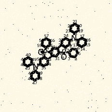 O=P1(c2ccccc2)c2cc(N(c3ccccc3)c3ccccc3)ccc2-c2cc3c(cc21)-c1ccc(N(c2ccccc2)c2ccccc2)cc1P3(=O)c1ccccc1